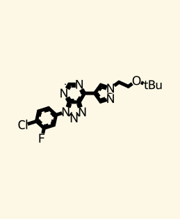 CC(C)(C)OCCn1cc(-c2n[c]nc3c2nnn3-c2ccc(Cl)c(F)c2)cn1